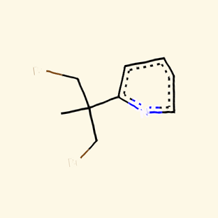 CC(CBr)(CBr)c1ccccn1